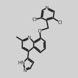 Cc1cc(-c2ccn[nH]2)c2cccc(OCc3c(Cl)cncc3Cl)c2n1